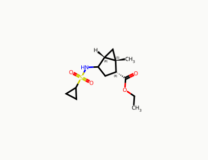 CCOC(=O)[C@@H]1CC(NS(=O)(=O)C2CC2)[C@@H]2C[C@]12C